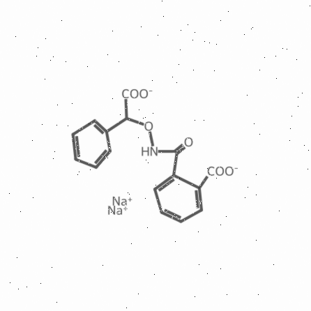 O=C([O-])c1ccccc1C(=O)NOC(C(=O)[O-])c1ccccc1.[Na+].[Na+]